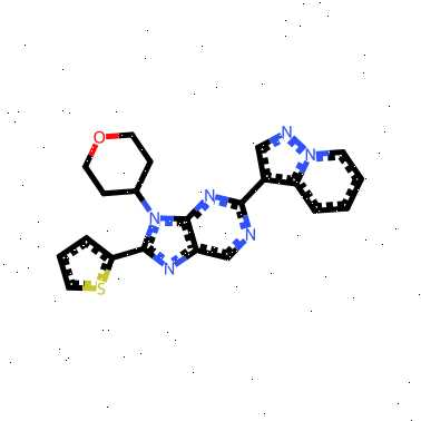 c1csc(-c2nc3cnc(-c4cnn5ccccc45)nc3n2C2CCOCC2)c1